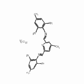 Cc1cc(C=Nc2c(C(C)C)cc(C)cc2C(C)C)nc(C=Nc2c(C(C)C)cc(C)cc2C(C)C)c1.[Cl-].[Cl-].[Cl-].[V+3]